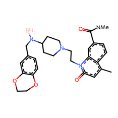 BN(Cc1ccc2c(c1)OCCO2)C1CCN(CCn2c(=O)cc(C)c3ccc(C(=O)NC)cc32)CC1